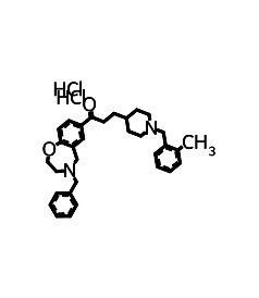 Cc1ccccc1CN1CCC(CCC(=O)c2ccc3c(c2)CN(Cc2ccccc2)CCO3)CC1.Cl.Cl